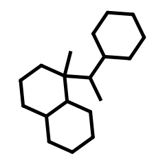 CC(C1CCCCC1)C1(C)CCCC2CCCCC21